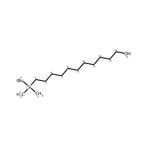 CC(C)(C)[Si](C)(C)CCCCCCCCCCCO